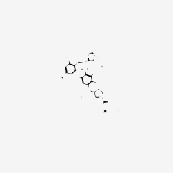 COc1ccc(CN(c2ncns2)S(=O)(=O)c2c(F)cc(N(C)C3CCN(C(=O)OC(C)(C)C)C3)c(Cl)c2F)c(OC)c1.Cl